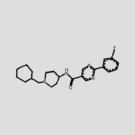 O=C(NC1CCN(CC2CCCCC2)CC1)c1cnc(-c2cccc(F)c2)nc1